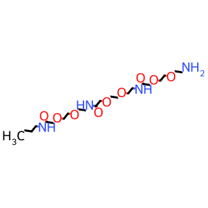 CCCCNC(=O)COCCOCCNC(=O)COCCOCCNC(=O)COCCOCCN